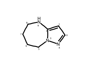 c1cc2n(n1)CCCCN2